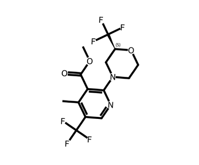 COC(=O)c1c(N2CCO[C@H](C(F)(F)F)C2)ncc(C(F)(F)F)c1C